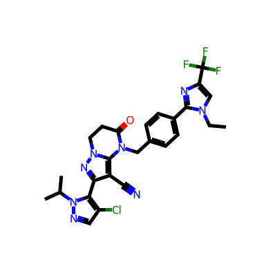 CCn1cc(C(F)(F)F)nc1-c1ccc(CN2C(=O)CCn3nc(-c4c(Cl)cnn4C(C)C)c(C#N)c32)cc1